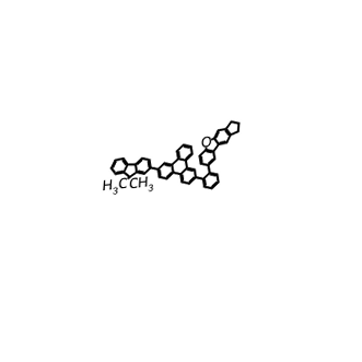 CC1(C)c2ccccc2-c2ccc(-c3ccc4c5ccc(-c6ccccc6-c6ccc7oc8cc9c(cc8c7c6)CCC9)cc5c5ccccc5c4c3)cc21